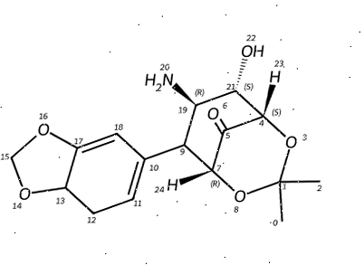 CC1(C)O[C@@H]2C(=O)[C@H](O1)C(C1=CCC3OCOC3=C1)[C@@H](N)[C@@H]2O